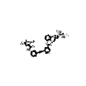 Cc1cc(C(=O)Nc2cccc(C#Cc3cncc(C(=O)N=S(CCCO[Si](C)(C)C(C)(C)C)c4ccccc4O)c3)c2)n(C)n1